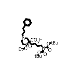 CCOP1(=O)CCN(CCCc2ccccc2)CC1(CCCCN(C(=O)OC(C)(C)C)C(=O)OC(C)(C)C)C(=O)O